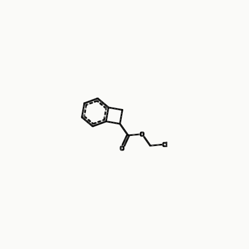 O=C(OCCl)C1Cc2ccccc21